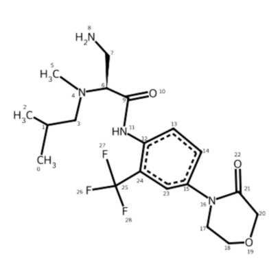 CC(C)CN(C)[C@@H](CN)C(=O)Nc1ccc(N2CCOCC2=O)cc1C(F)(F)F